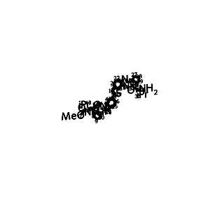 COC(=O)N[C@H](C(=O)N1CCC[C@H]1c1nc2ccc(-c3cc4ccc5nc([C@@H]6CCCN6C(=O)[C@@H](N)C(C)C)[nH]c5c4s3)cc2[nH]1)C(C)C